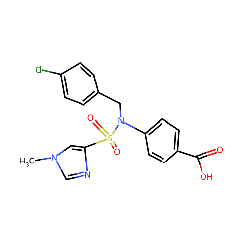 Cn1cnc(S(=O)(=O)N(Cc2ccc(Cl)cc2)c2ccc(C(=O)O)cc2)c1